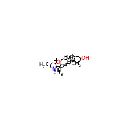 C[C@H]1C[C@H]2O[C@@]34CC[C@H]5[C@@H]6CC=C7C[C@@H](O)CC[C@]7(C)[C@H]6CC56CC63C[C@@H]4[C@@H]2N(C)C1